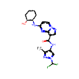 O=C(Nc1cn(C(F)F)nc1C(F)(F)F)c1cnn2ccc(N[C@@H]3CCCC[C@@H]3O)nc12